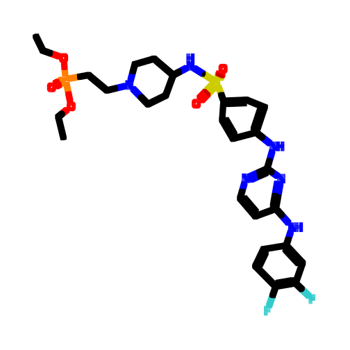 CCOP(=O)(CCN1CCC(NS(=O)(=O)c2ccc(Nc3nccc(Nc4ccc(F)c(F)c4)n3)cc2)CC1)OCC